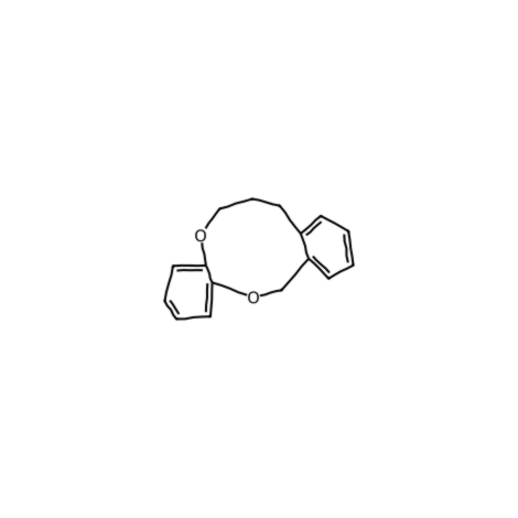 c1ccc2c(c1)CCCOc1ccccc1OC2